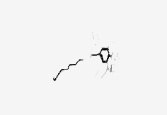 CCN(CC)c1cc(C(=O)OCCCCCCO)c(C)c(Br)c1N